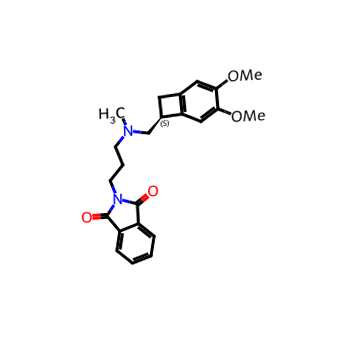 COc1cc2c(cc1OC)[C@@H](CN(C)CCCN1C(=O)c3ccccc3C1=O)C2